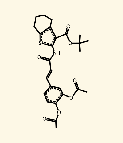 CC(=O)Oc1ccc(C=CC(=O)Nc2sc3c(c2C(=O)OC(C)(C)C)CCCC3)cc1OC(C)=O